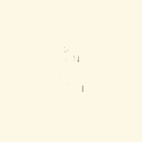 Clc1ccc(-c2cs[c]n2)cc1Cl